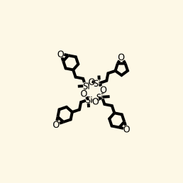 C[Si]1(CCC2CCC3OC3C2)O[Si](C)(CCC2CCC3OC3C2)O[Si](C)(CCC2CCC3OC23)O[Si](C)(CCC2CCC3OC3C2)O1